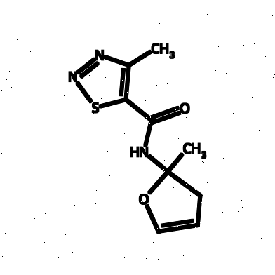 Cc1nnsc1C(=O)NC1(C)CC=CO1